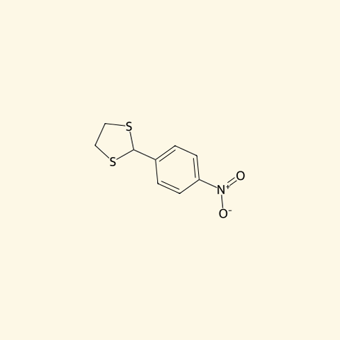 O=[N+]([O-])c1ccc(C2SCCS2)cc1